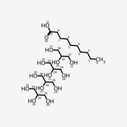 CCCCCCCCCC(=O)O.OCC(O)CO.OCC(O)CO.OCC(O)CO.OCC(O)CO